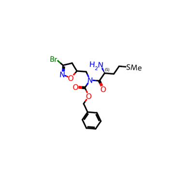 CSCC[C@H](N)C(=O)N(CC1CC(Br)=NO1)C(=O)OCc1ccccc1